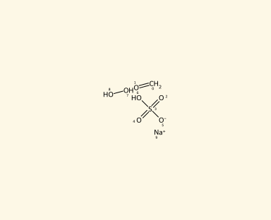 C=O.O=S(=O)([O-])O.OO.[Na+]